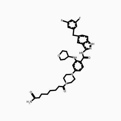 NC(=O)CCCCCCC(=O)N1CCN(c2ccc(C(=O)Nc3n[nH]c4ccc(Cc5cc(F)cc(F)c5)cc34)c(NC3CCOCC3)c2)CC1